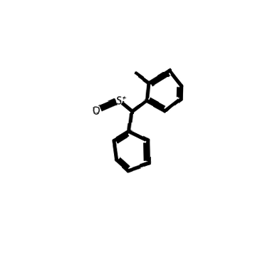 Cc1ccccc1C([S+]=O)c1ccccc1